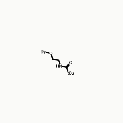 CC(C)OCCNC(=O)C(C)(C)C